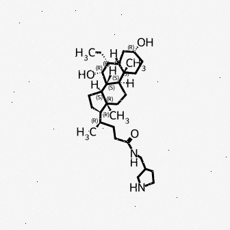 CC[C@H]1[C@@H](O)[C@@H]2[C@H](CC[C@]3(C)[C@@H]([C@H](C)CCC(=O)NCC4CCNC4)CC[C@@H]23)[C@@]2(C)CC[C@@H](O)C[C@@H]12